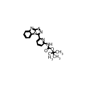 CC(C)(C)OC(=O)Nc1cccc(-c2nsc3nc4ccccc4n23)n1